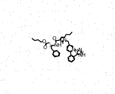 CCCCOC(=O)C[C@@H](Cc1ccccc1)NC(=O)c1cc(CCC)n(Cc2ccc(-c3ccccc3-c3nnn[nH]3)nc2)n1